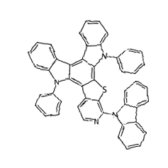 c1ccc(-n2c3ccccc3c3c4c5ccccc5n(-c5ccccc5)c4c4c5ccnc(-n6c7ccccc7c7ccccc76)c5sc4c32)cc1